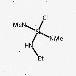 CCN[Si](Cl)(NC)NC